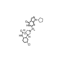 C[C@H](c1nc2c(cnn2C2CCCC2)c(=O)[nH]1)N1C[C@@H]2C(=O)Nc3ccc(Cl)cc3[C@@H]2C1